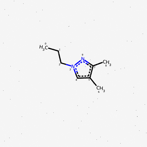 CCCn1cc(C)c(C)n1